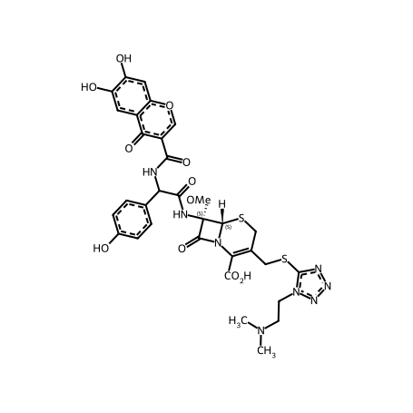 CO[C@@]1(NC(=O)C(NC(=O)c2coc3cc(O)c(O)cc3c2=O)c2ccc(O)cc2)C(=O)N2C(C(=O)O)=C(CSc3nnnn3CCN(C)C)CS[C@H]21